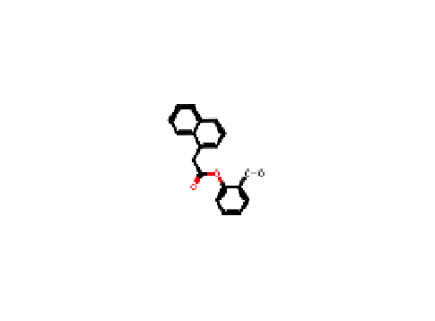 O=Cc1ccccc1OC(=O)Cc1cccc2ccccc12